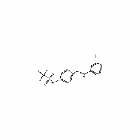 CC(C)(C)S(=O)(=O)Nc1ccc(CNc2cccc(F)c2)cc1